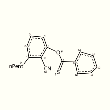 CCCCCc1cccc(OC(=S)c2ccccc2)c1C#N